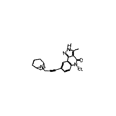 CCn1c(=O)c2c(C)[nH]nc2c2cc(C#CCN3C4CCCC3CC4)ccc21